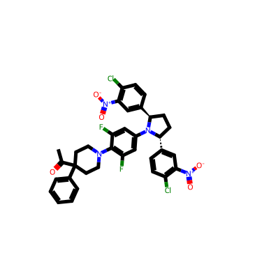 CC(=O)C1(c2ccccc2)CCN(c2c(F)cc(N3[C@@H](c4ccc(Cl)c([N+](=O)[O-])c4)CC[C@@H]3c3ccc(Cl)c([N+](=O)[O-])c3)cc2F)CC1